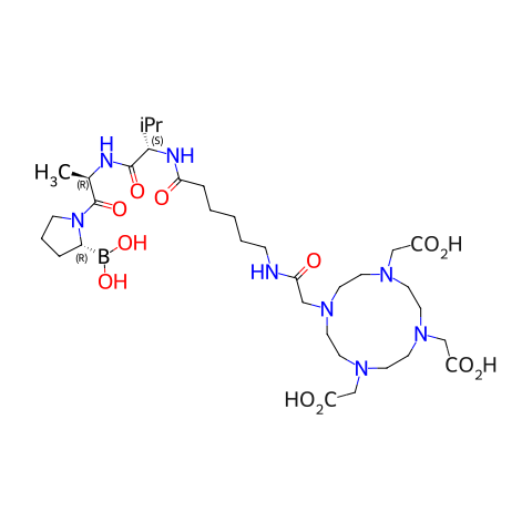 CC(C)[C@H](NC(=O)CCCCCNC(=O)CN1CCN(CC(=O)O)CCN(CC(=O)O)CCN(CC(=O)O)CC1)C(=O)N[C@H](C)C(=O)N1CCC[C@H]1B(O)O